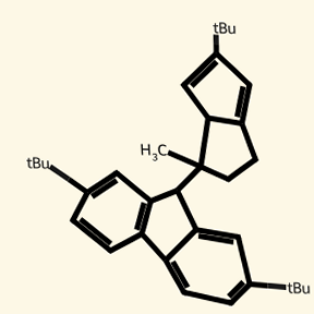 CC(C)(C)C1=CC2C(=C1)CCC2(C)C1c2cc(C(C)(C)C)ccc2-c2ccc(C(C)(C)C)cc21